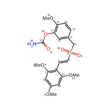 COc1cc(OC)c(C=CS(=O)(=O)Cc2ccc(OC)c(OC(N)=O)c2)c(OC)c1